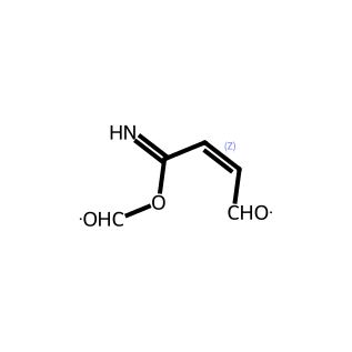 N=C(/C=C\[C]=O)O[C]=O